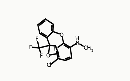 CNc1ccc(Cl)nc1Oc1ccccc1C1(C(F)(F)F)CCO1